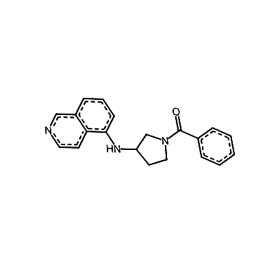 O=C(c1ccccc1)N1CCC(Nc2cccc3cnccc23)C1